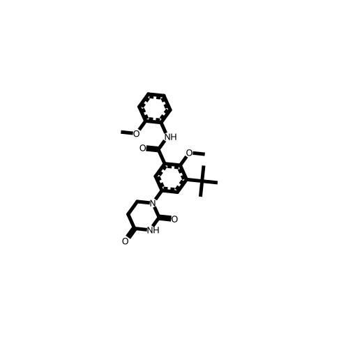 COc1ccccc1NC(=O)c1cc(N2CCC(=O)NC2=O)cc(C(C)(C)C)c1OC